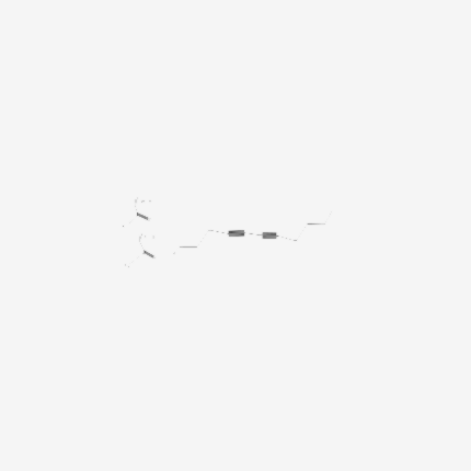 CCCCCCCCCC(N)=O.CCCCCCCCCC(N)=O.O=C(O)CCCC#CC#CCCCC(=O)O